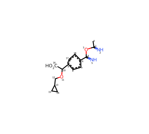 CC(=N)OC(=N)c1ccc(C(OCC2CC2)C(=O)O)cc1